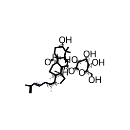 C=C(C)/C=C/C[C@@H](C)[C@H]1CC[C@@]2(C)[C@@H]3[C@@H](O[C@@H]4O[C@H](CO)[C@@H](O)[C@H](O)[C@H]4O)C=C4[C@@H](CC[C@H](O)C4(C)C)[C@]3(C=O)CC[C@]12C